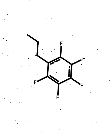 CC[CH]c1c(F)c(F)c(F)c(F)c1F